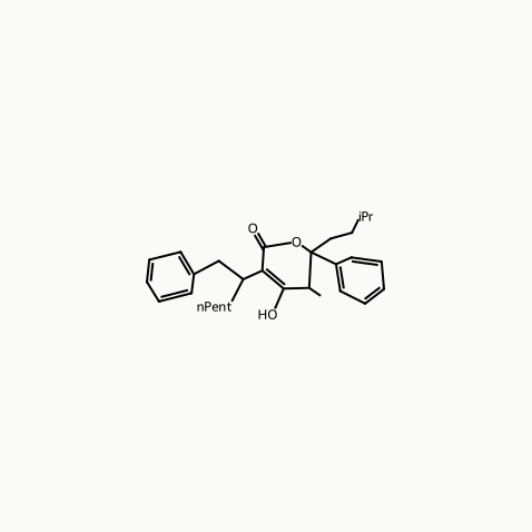 CCCCCC(Cc1ccccc1)C1=C(O)C(C)C(CCC(C)C)(c2ccccc2)OC1=O